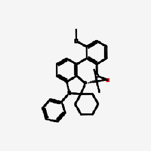 COc1cccc(OC)c1-c1cccc2c1[P@](C(C)(C)C)C1(CCCCC1)N2c1ccccc1